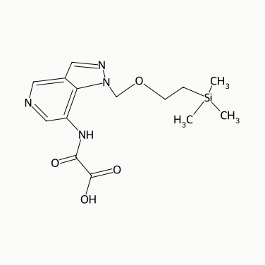 C[Si](C)(C)CCOCn1ncc2cncc(NC(=O)C(=O)O)c21